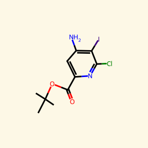 CC(C)(C)OC(=O)c1cc(N)c(I)c(Cl)n1